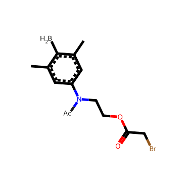 Bc1c(C)cc(N(CCOC(=O)CBr)C(C)=O)cc1C